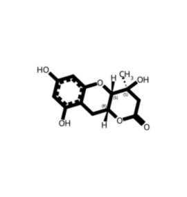 C[C@]1(O)CC(=O)O[C@@H]2Cc3c(O)cc(O)cc3O[C@@H]21